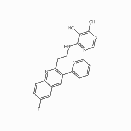 N#Cc1c(O)ncnc1NCCc1nc2ccc(F)cc2cc1-c1ccccn1